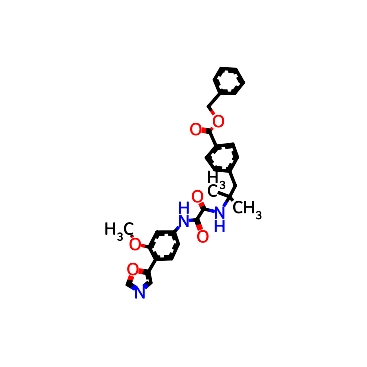 COc1cc(NC(=O)C(=O)NC(C)(C)Cc2ccc(C(=O)OCc3ccccc3)cc2)ccc1-c1cnco1